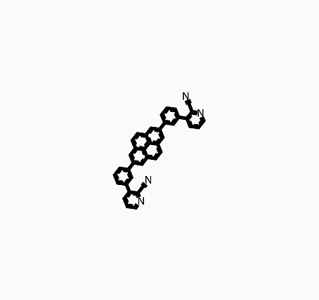 N#Cc1ncccc1-c1cccc(-c2cc3ccc4cc(-c5cccc(-c6cccnc6C#N)c5)cc5ccc(c2)c3c45)c1